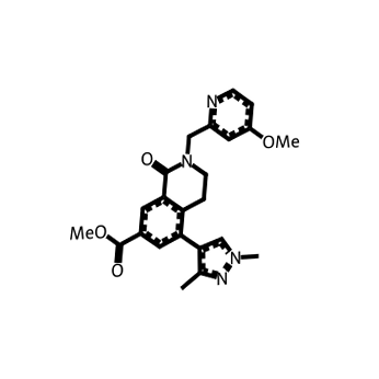 COC(=O)c1cc2c(c(-c3cn(C)nc3C)c1)CCN(Cc1cc(OC)ccn1)C2=O